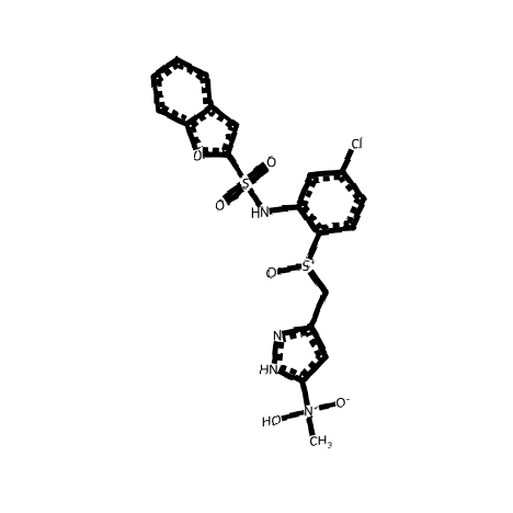 C[N+]([O-])(O)c1cc(C[S+]([O-])c2ccc(Cl)cc2NS(=O)(=O)c2cc3ccccc3o2)n[nH]1